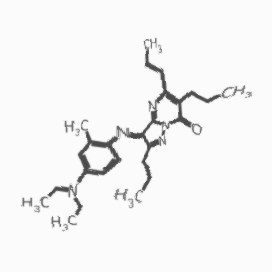 CCCC1=Nn2c(nc(CCC)c(CCC)c2=O)C1=Nc1ccc(N(CC)CC)cc1C